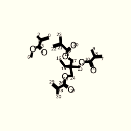 C=C(C)C(=O)OC.C=C(C)C(=O)OCC(CC)(COC(=O)C(=C)C)COC(=O)C(=C)C